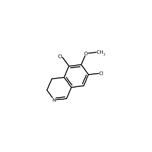 COc1c(Cl)cc2c(c1Cl)CCN=C2